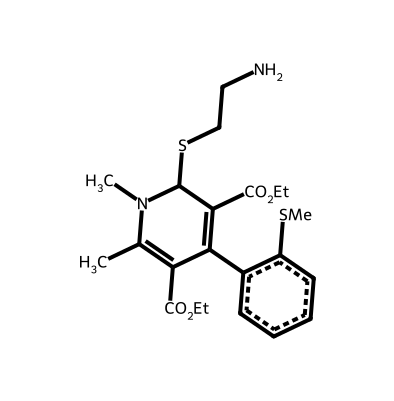 CCOC(=O)C1=C(C)N(C)C(SCCN)C(C(=O)OCC)=C1c1ccccc1SC